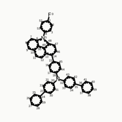 Fc1ccc(-n2c3cccc4ccc5c(-c6ccc(N(c7ccc(-c8ccccc8)cc7)c7ccc(-c8ccccc8)cc7)cc6)ccc2c5c43)cc1